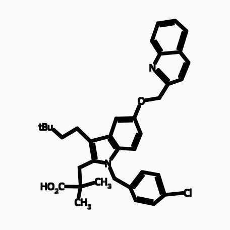 CC(C)(C)CCc1c(CC(C)(C)C(=O)O)n(Cc2ccc(Cl)cc2)c2ccc(OCc3ccc4ccccc4n3)cc12